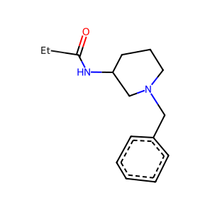 CCC(=O)NC1CCCN(Cc2ccccc2)C1